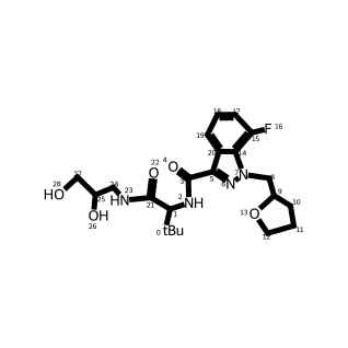 CC(C)(C)C(NC(=O)c1nn(CC2CCCO2)c2c(F)cccc12)C(=O)NCC(O)CO